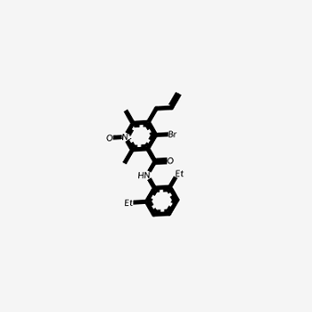 C=CCc1c(Br)c(C(=O)Nc2c(CC)cccc2CC)c(C)[n+]([O-])c1C